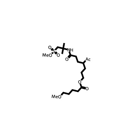 COCCCCC(=O)OCCCC(CCC(=O)NC(C)(C)CS(=O)(=O)OC)C(C)=O